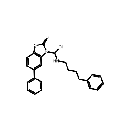 O=c1oc2ccc(-c3ccccc3)cc2n1C(O)NCCCCc1ccccc1